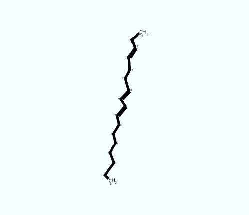 [CH2]CCCCCCC=CC=CCCC=CCC